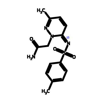 Cc1ccc(S(=O)(=O)/N=c2/ccc(C)nn2CC(N)=O)cc1